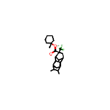 CC1C(C)C2CC1C1C3CC(C21)C(C(=O)OC1(C)CCCCC1)(C(F)(F)F)C3